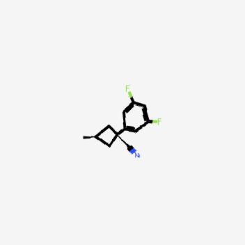 C[C@H]1C[C@](C#N)(c2cc(F)cc(F)c2)C1